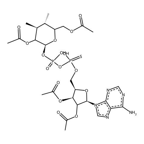 CC(=O)OCC1O[C@@H](OP(=O)(O)OP(O)(=S)OC[C@H]2O[C@@H](n3cnc4c(N)ncnc43)C(OC(C)=O)[C@H]2OC(C)=O)C(OC(C)=O)[C@@H](C)[C@@H]1C